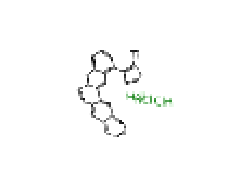 Cl.Cl.Cl.[Ti][C]1=C(c2cccc3cc4ccc5cc6ccccc6cc5c4cc23)C=CC1